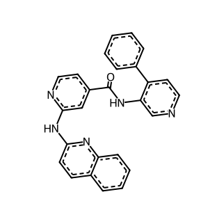 O=C(Nc1cnccc1-c1ccccc1)c1ccnc(Nc2ccc3ccccc3n2)c1